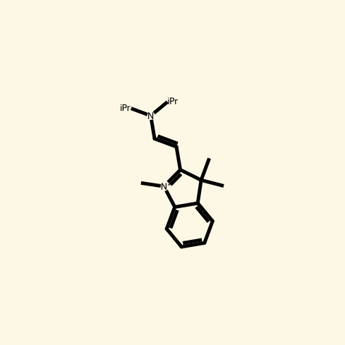 CC(C)N(/C=C/C1=[N+](C)c2ccccc2C1(C)C)C(C)C